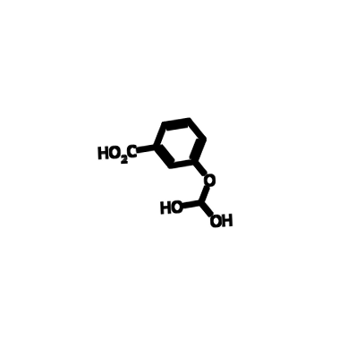 O=C(O)c1cccc(OC(O)O)c1